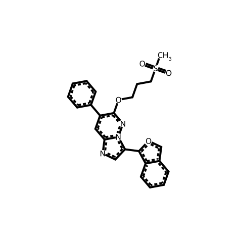 CS(=O)(=O)CCCOc1nn2c(-c3occ4ccccc34)cnc2cc1-c1ccccc1